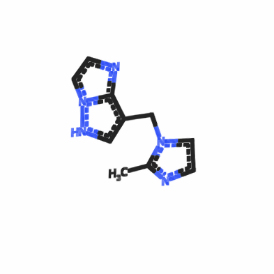 Cc1nccn1Cc1c[nH]n2ccnc12